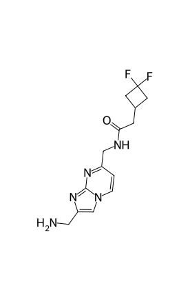 NCc1cn2ccc(CNC(=O)CC3CC(F)(F)C3)nc2n1